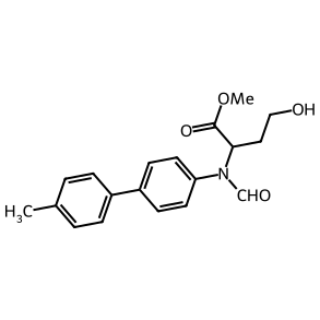 COC(=O)C(CCO)N(C=O)c1ccc(-c2ccc(C)cc2)cc1